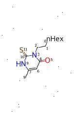 CCCCCCCCn1c(=O)cc(C)[nH]c1=S